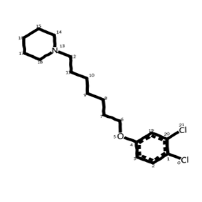 Clc1ccc(OCCCCCCCN2CCCCC2)cc1Cl